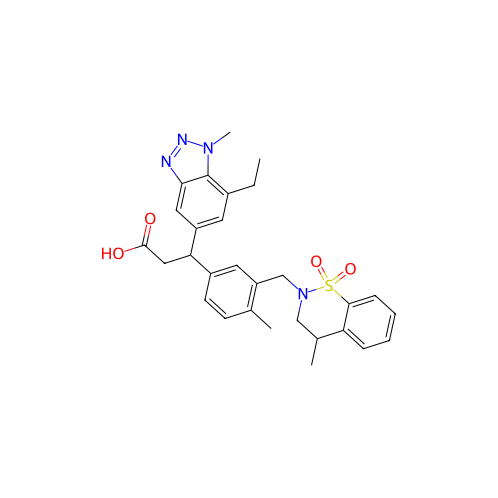 CCc1cc(C(CC(=O)O)c2ccc(C)c(CN3CC(C)c4ccccc4S3(=O)=O)c2)cc2nnn(C)c12